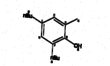 CCCCc1cc(C)c(O)c(CCCC)c1